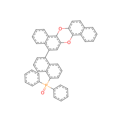 O=P(c1ccccc1)(c1ccccc1)c1cccc2c(-c3cc4c(c5ccccc35)Oc3ccc5ccccc5c3O4)cccc12